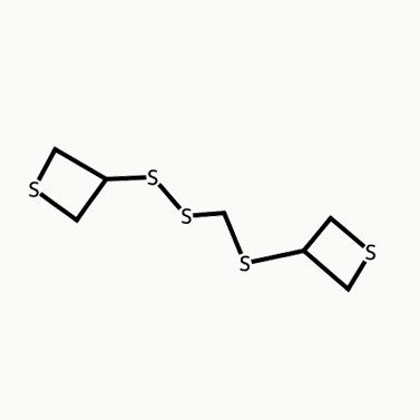 C(SSC1CSC1)SC1CSC1